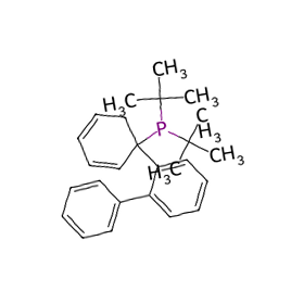 CC(C)(C)P(C(C)(C)C)C1(c2ccccc2-c2ccccc2)C=CC=CC1